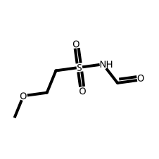 COCCS(=O)(=O)NC=O